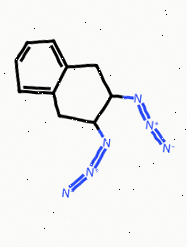 [N-]=[N+]=NC1Cc2ccccc2CC1N=[N+]=[N-]